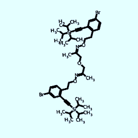 CC(COCC(C)=NOCCc1ccc(Br)cc1C#C[Si](C(C)C)(C(C)C)C(C)C)=NOCCc1ccc(Br)cc1C#C[Si](C(C)C)(C(C)C)C(C)C